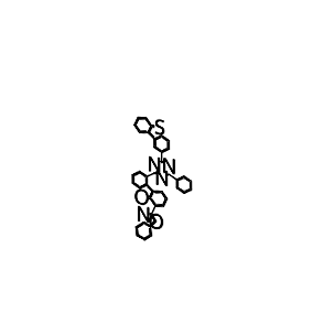 c1ccc(-c2nc(-c3ccc4sc5ccccc5c4c3)nc(-c3cccc4oc5c(-c6nc7ccccc7o6)cccc5c34)n2)cc1